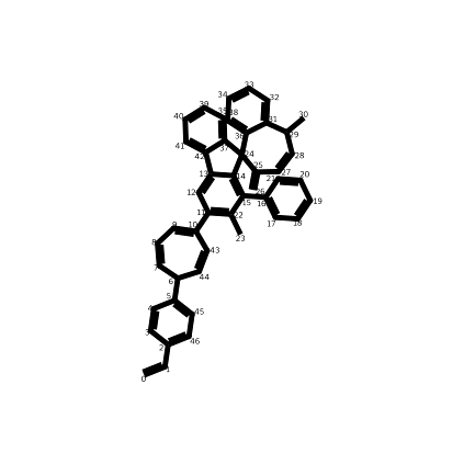 C=Cc1ccc(C2C=CC=C(c3cc4c(c(-c5ccccc5)c3C)C3(C(=C)C=CC(C)c5ccccc53)c3ccccc3-4)C=C2)cc1